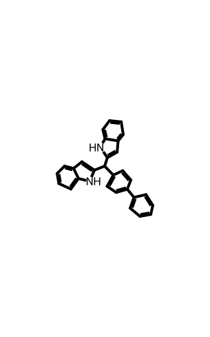 c1ccc(-c2ccc(C(c3cc4ccccc4[nH]3)c3cc4ccccc4[nH]3)cc2)cc1